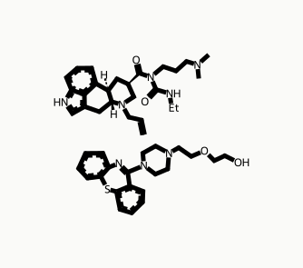 C=CCN1C[C@H](C(=O)N(CCCN(C)C)C(=O)NCC)C[C@@H]2c3cccc4[nH]cc(c34)C[C@H]21.OCCOCCN1CCN(C2=Nc3ccccc3Sc3ccccc32)CC1